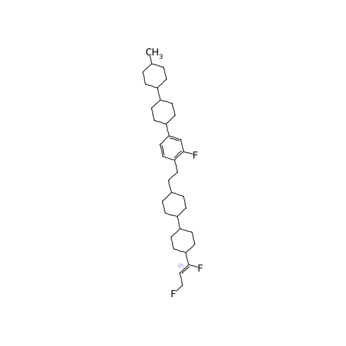 CC1CCC(C2CCC(c3ccc(CCC4CCC(C5CCC(/C(F)=C/CF)CC5)CC4)c(F)c3)CC2)CC1